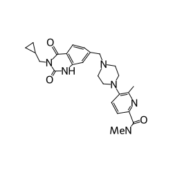 CNC(=O)c1ccc(N2CCN(Cc3ccc4c(=O)n(CC5CC5)c(=O)[nH]c4c3)CC2)c(C)n1